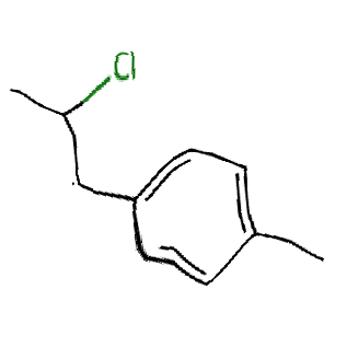 Cc1ccc([CH]C(C)Cl)cc1